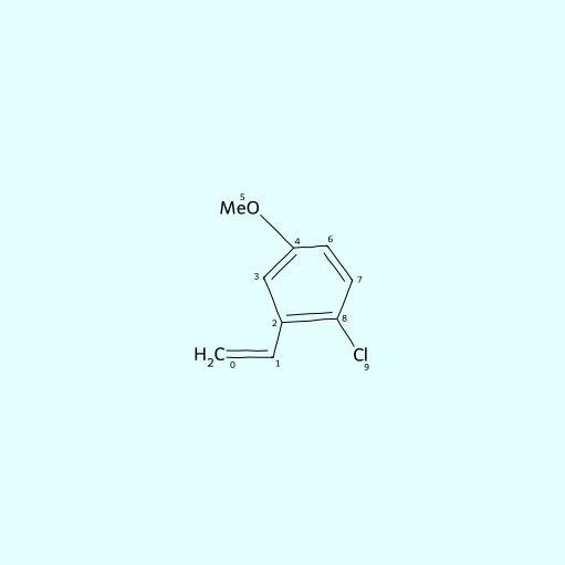 C=Cc1cc(OC)ccc1Cl